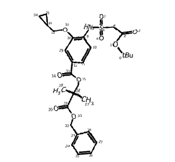 CC(C)(C)OC(=O)CS(=O)(=O)Nc1ccc(C(=O)OC(C)(C)C(=O)OCc2ccccc2)cc1OCC1CC1